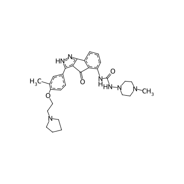 Cc1cc(-c2[nH]nc3c2C(=O)c2c(NC(=O)NN4CCN(C)CC4)cccc2-3)ccc1OCCN1CCCC1